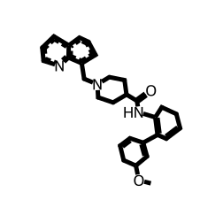 COC1C=C(C2=C(NC(=O)C3CCN(Cc4cccc5cccnc45)CC3)CCC=C2)C=CC1